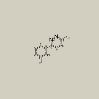 Cc1cccc(-c2ccc(C)nn2)c1